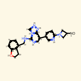 O=NC1CN(c2ccc(-c3cnc(NCc4cccc5c4CCO5)n4cnnc34)cn2)C1